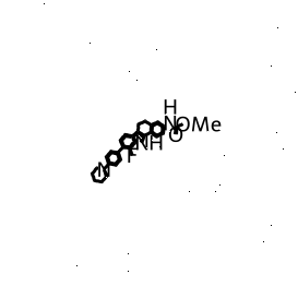 COC(=O)Nc1ccc2c(c1)CCc1c-2[nH]c2c(F)c(-c3ccc(N4CCCCC4)cc3)ccc12